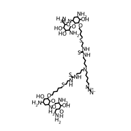 [N-]=[N+]=NCCCCCN(CCCCNC(=S)NCCSCCCCOC1C(O)[C@H](N)CC(N)[C@H]1O[C@H]1OC(CN)[C@@H](O)C(O)C1N)CCCNC(=S)NCCSCCCCCOC1C(O)[C@H](N)CC(N)[C@H]1O[C@H]1OC(CN)[C@@H](O)C(O)C1N